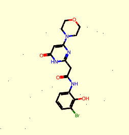 O=C(Cc1nc(N2CCOCC2)cc(=O)[nH]1)Nc1cccc(Br)c1O